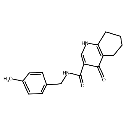 Cc1ccc(CNC(=O)c2c[nH]c3c(c2=O)CCCC3)cc1